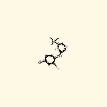 [CH3][Sn]([CH3])([CH3])[c]1cncc(Nc2ccc(Cl)cc2F)n1